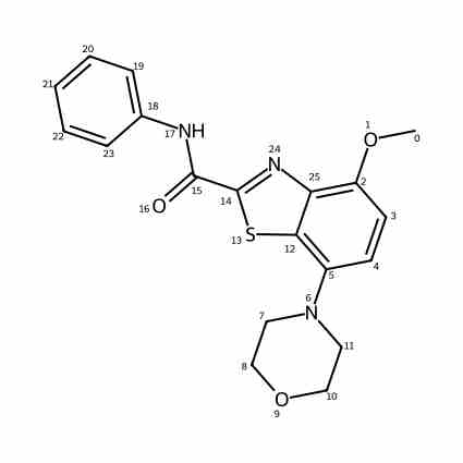 COc1ccc(N2CCOCC2)c2sc(C(=O)Nc3ccccc3)nc12